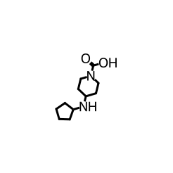 O=C(O)N1CCC(NC2CCCC2)CC1